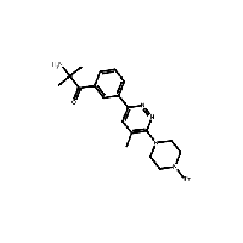 Cc1cc(-c2cccc(C(=O)C(C)(C)N)c2)nnc1N1CCN(C(C)C)CC1